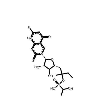 CCC(C)(C[C@H]1O[C@@H](n2cc3c(=O)cc(F)[nH]c3nc2=S)[C@@H](O)C1O)OP(=O)(O)C(C)O